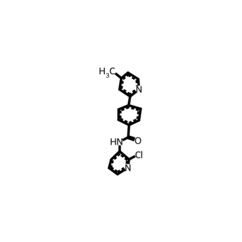 Cc1ccnc(-c2ccc(C(=O)Nc3cccnc3Cl)cc2)c1